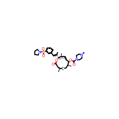 C/C(=C\c1cccc(S(=O)(=O)N2CCCC2)c1)[C@H]1OC(=O)C[C@H](C)CC[C@H](C)[C@@H](OC(=O)N2CCN(C)CC2)/C=C/[C@@H]1C